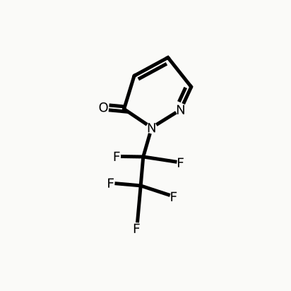 O=c1cccnn1C(F)(F)C(F)(F)F